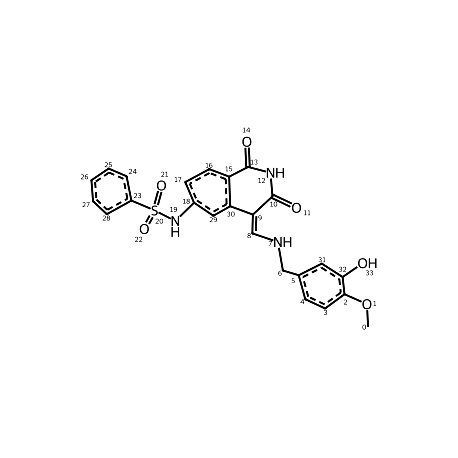 COc1ccc(CNC=C2C(=O)NC(=O)c3ccc(NS(=O)(=O)c4ccccc4)cc32)cc1O